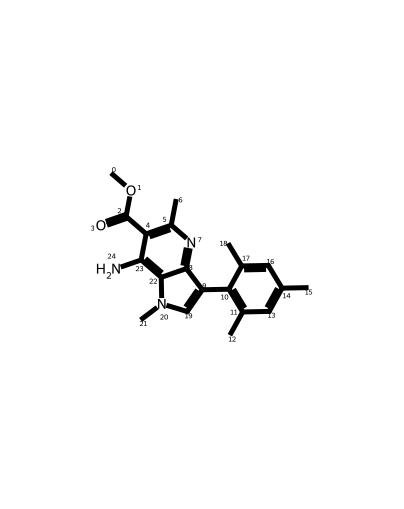 COC(=O)c1c(C)nc2c(-c3c(C)cc(C)cc3C)cn(C)c2c1N